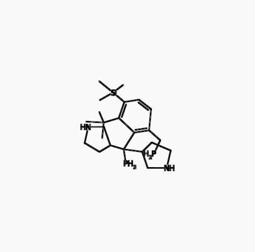 CC(C)(C)c1c([Si](C)(C)C)ccc(CP)c1C(P)(C1CCNC1)C1CCNC1